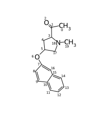 CC(=O)C1CC(Oc2ccc3ccccc3c2)CN1C